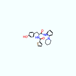 O=C(NC(Cc1ccc(O)cc1)C(=O)Nc1ccccc1N1CCCCC1)c1cccs1